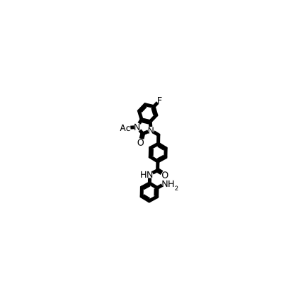 CC(=O)n1c(=O)n(Cc2ccc(C(=O)Nc3ccccc3N)cc2)c2cc(F)ccc21